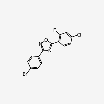 Fc1cc(Cl)ccc1-c1nc(-c2ccc(Br)cc2)no1